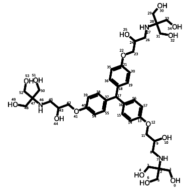 OCC(CO)(CO)NCC(O)COc1ccc(C(c2ccc(OCC(O)CNC(CO)(CO)CO)cc2)c2ccc(OCC(O)CNC(CO)(CO)CO)cc2)cc1